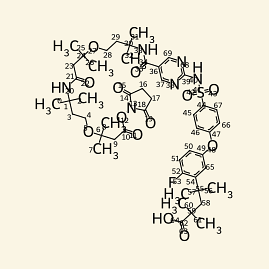 CC(C)(CCOC(C)(C)CC(=O)ON1C(=O)CCC1=O)NC(=O)CC(C)(C)OCCC(C)(C)NC(=O)c1cnc(NS(=O)(=O)c2ccc(Oc3ccc(F)c(C(C)(C)CC(C)(C)C(=O)O)c3)cc2)nc1